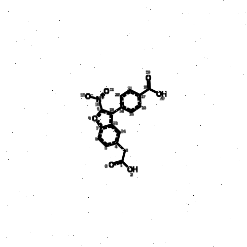 O=C(O)Cc1ccc2oc([N+](=O)[O-])c(-c3ccc(C(=O)O)cc3)c2c1